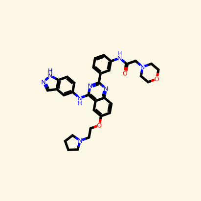 O=C(CN1CCOCC1)Nc1cccc(-c2nc(Nc3ccc4[nH]ncc4c3)c3cc(OCCN4CCCC4)ccc3n2)c1